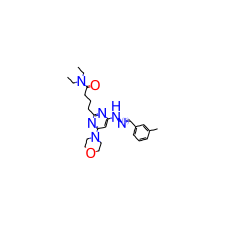 CCN(CC)C(=O)CCCc1nc(N/N=C/c2cccc(C)c2)cc(N2CCOCC2)n1